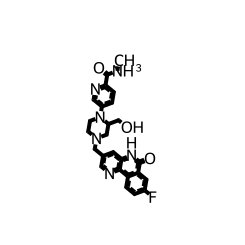 CNC(=O)c1ccc(N2CCN(Cc3cnc4c(c3)[nH]c(=O)c3cc(F)ccc34)CC2CO)cn1